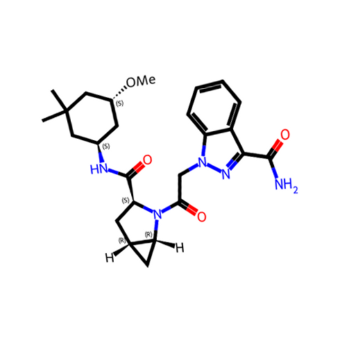 CO[C@@H]1C[C@@H](NC(=O)[C@@H]2C[C@H]3C[C@H]3N2C(=O)Cn2nc(C(N)=O)c3ccccc32)CC(C)(C)C1